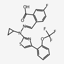 O=C(O)c1cc(F)ccc1C=NN(c1nc(-c2ccccc2OC(F)(F)F)cs1)C1CC1